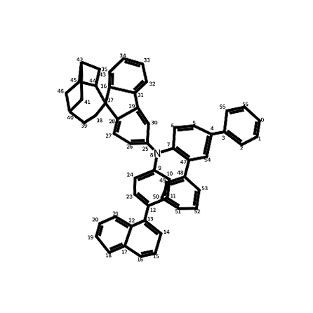 c1ccc(-c2ccc(N(c3ccc(-c4cccc5ccccc45)cc3)c3ccc4c(c3)-c3ccccc3C43CCC4CC5CC3C5C4)c(-c3ccccc3)c2)cc1